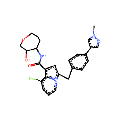 Cn1cc(-c2ccc(Cc3cc(C(=O)NC4CCOCC4O)c4c(F)cccn34)cc2)cn1